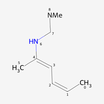 C/C=C\C=C(/C)NCNC